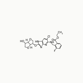 CCOC(=O)c1cccc(F)c1CNc1nc2nc(O[C@@H]3CO[C@H]4[C@@H]3OC[C@H]4O)[nH]c2cc1Cl